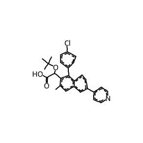 Cc1cc2cc(-c3ccncc3)ccc2c(-c2ccc(Cl)cc2)c1C(OC(C)(C)C)C(=O)O